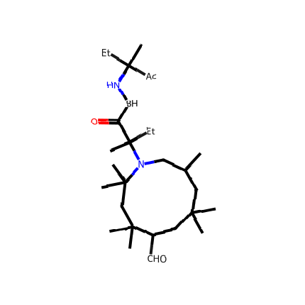 CCC(C)(NBC(=O)C(C)(CC)N1CC(C)CC(C)(C)CC(C=O)C(C)(C)CC1(C)C)C(C)=O